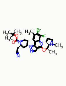 Cc1cc2c(nc(O[C@@H](C)[C@@H]3CCCN3C)c3cnn([C@H]4CCN(C(=O)OC(C)(C)C)[C@H](CC#N)C4)c32)c(F)c1Br